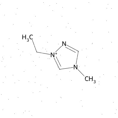 CC[n+]1cn(C)cn1